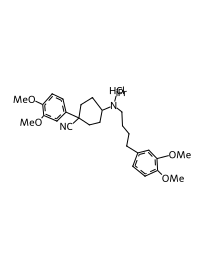 COc1ccc(CCCCN(C(C)C)C2CCC(C#N)(c3ccc(OC)c(OC)c3)CC2)cc1OC.Cl